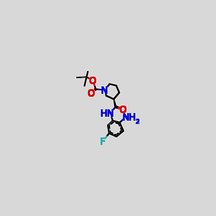 CC(C)(C)OC(=O)N1CCC[C@@H](C(=O)Nc2cc(F)ccc2N)C1